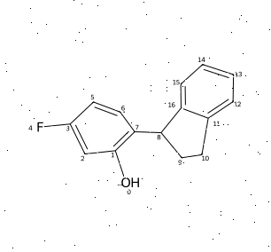 Oc1cc(F)c[c]c1C1CCc2ccccc21